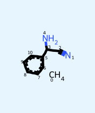 C.N#CC(N)c1ccccc1